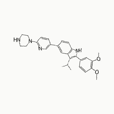 COc1ccc(-c2[nH]c3ccc(-c4ccc(N5CCNCC5)nc4)cc3c2C(C)C)cc1OC